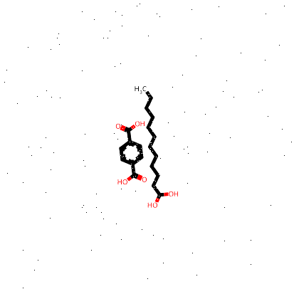 CCCCCCCCCCCC(O)O.O=C(O)c1ccc(C(=O)O)cc1